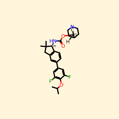 CC(C)Oc1c(F)cc(-c2ccc3c(c2)CC(C)(C)[C@H]3NC(=O)O[C@@H]2CN3CCC2CC3)cc1F